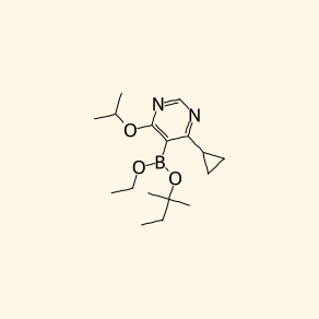 CCOB(OC(C)(C)CC)c1c(OC(C)C)ncnc1C1CC1